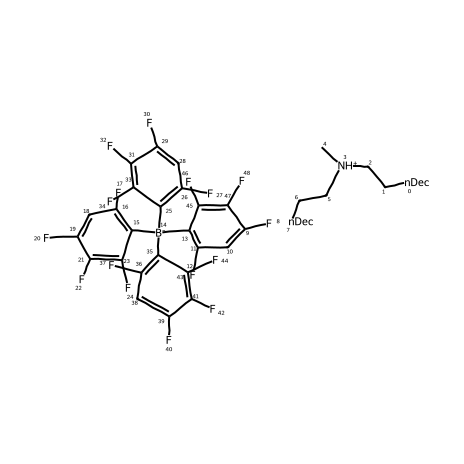 CCCCCCCCCCCC[NH+](C)CCCCCCCCCCCC.Fc1cc(F)c([B-](c2c(F)cc(F)c(F)c2F)(c2c(F)cc(F)c(F)c2F)c2c(F)cc(F)c(F)c2F)c(F)c1F